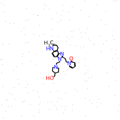 C[C@H]1CCc2c(ccc3c2nc(CCn2ccccc2=O)n3CCN2CCC(CO)CC2)N1